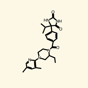 CCC1CN(c2ncc(C)cc2C)CCN1C(=O)c1ccc(C2(C(C)C)NC(=O)NC2=O)cc1